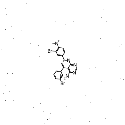 CN(C)c1ccc(-c2cc(-c3cccc(Br)c3)c3c(N)ncnc3n2)cc1Br